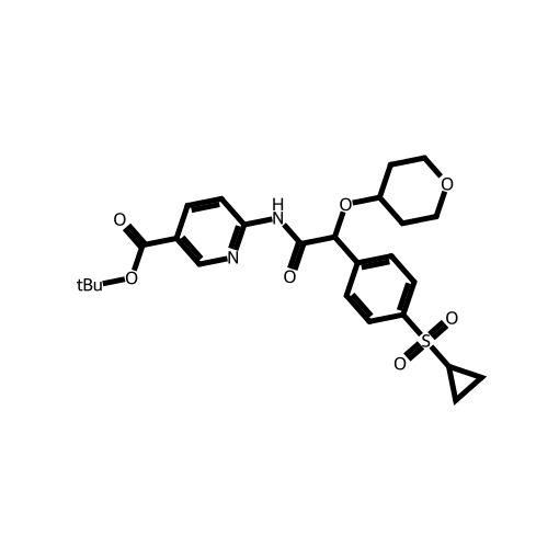 CC(C)(C)OC(=O)c1ccc(NC(=O)C(OC2CCOCC2)c2ccc(S(=O)(=O)C3CC3)cc2)nc1